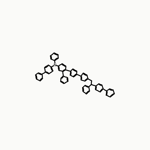 c1ccc(-c2ccc(C(Cc3ccc(-c4ccc(-c5ccc(N(c6ccccc6)c6ccc(-c7ccccc7)cc6)cc5-c5ccccc5)cc4)cc3)c3ccccc3)cc2)cc1